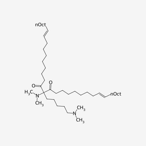 CCCCCCCCC=CCCCCCCCC(=O)C(CCCCCN(C)C)(C(=O)CCCCCCCC=CCCCCCCCC)N(C)C